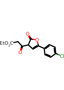 CCOC(=O)CC(=O)C1C=C(c2ccc(Cl)cc2)OC1=O